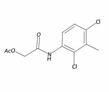 CC(=O)OCC(=O)Nc1ccc(Cl)c(C)c1Cl